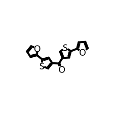 O=C(c1csc(-c2ccco2)c1)c1csc(-c2ccco2)c1